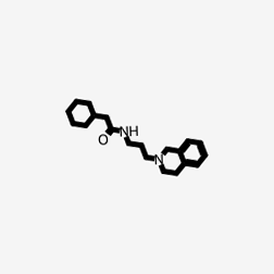 O=C(CC1CCCCC1)NCCCN1CCc2ccccc2C1